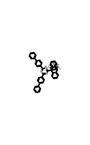 CC1(C)C2c3ccccc3C(c3nc(-c4ccc(-c5ccccc5)cc4)nc(-c4ccc(-c5ccccc5)cc4)n3)(c3ccccc32)C1(C)C